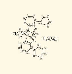 CC1=CC2=C(C=CC=CC2c2ccccc2)[CH]1[Zr+2]([CH3])([CH2]Cl)[CH]1C(C)=CC2=C1C=CC=CC2c1ccccc1.[Cl-].[Cl-].[SiH4]